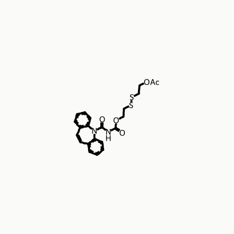 CC(=O)OCCSSCCOC(=O)NC(=O)N1c2ccccc2C=Cc2ccccc21